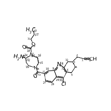 C#CCC1CCc2c(nc3cc(C(=O)N4CCN(C(=O)OCCC)[C@H](N)C4)ccc3c2Cl)C1